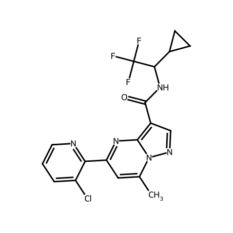 Cc1cc(-c2ncccc2Cl)nc2c(C(=O)NC(C3CC3)C(F)(F)F)cnn12